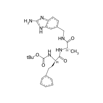 C[C@H](NC(=O)[C@@H](CCc1ccccc1)NC(=O)OC(C)(C)C)C(=O)NCc1ccc2nc(N)[nH]c2c1